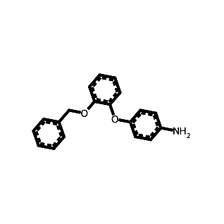 Nc1ccc(Oc2ccccc2OCc2ccccc2)cc1